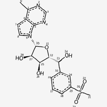 Cc1ncnc2c1ccn2[C@@H]1O[C@H](C(O)c2cccc(S(C)(=O)=O)c2)[C@@H](O)[C@H]1O